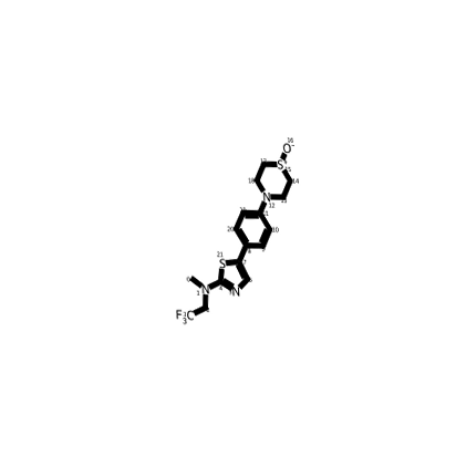 CN(CC(F)(F)F)c1ncc(-c2ccc(N3CC[S+]([O-])CC3)cc2)s1